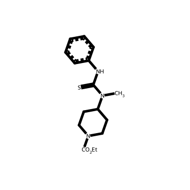 CCOC(=O)N1CCC(N(C)C(=S)Nc2ccccc2)CC1